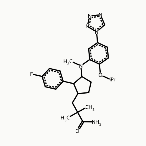 CC(C)Oc1ccc(-n2cnnn2)cc1N(C)C1CCC(CC(C)(C)C(N)=O)C1c1ccc(F)cc1